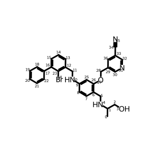 CC(CO)NCc1ccc(NCc2cccc(-c3ccccc3)c2Br)cc1OCc1cncc(C#N)c1